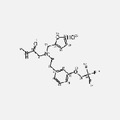 CNC(=O)CN(CCc1cccc(OCC(F)(F)F)c1)Cc1ccco1.Cl